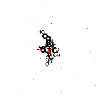 COc1ccc(C(=O)OC2C(OC3C(O)COC(O[C@H]4C[C@H]5[C@@H]6CC=C7C[C@@H](O)CC[C@]7(C)C6CC[C@]5(C)[C@@]4(O)[C@H](C)C(=O)CCC(C)C)C3OC(C)=O)OCC3OC(=O)OC32)cc1